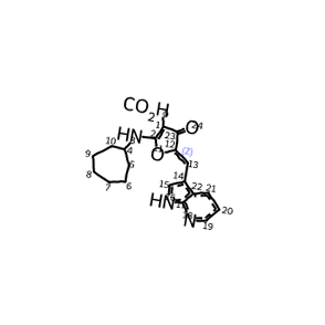 O=C(O)C1=C(NC2CCCCCC2)O/C(=C\c2c[nH]c3ncccc23)C1=O